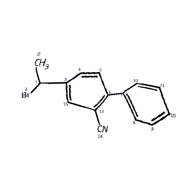 CC(Br)c1ccc(-c2ccccc2)c(C#N)c1